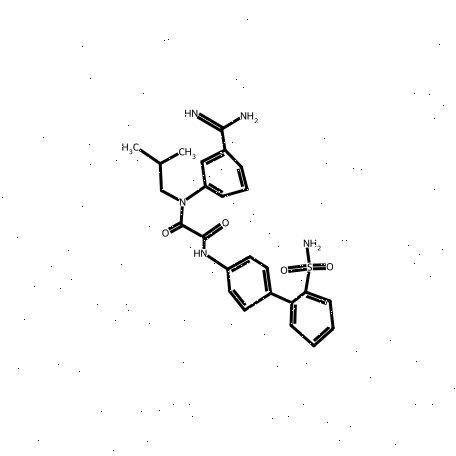 CC(C)CN(C(=O)C(=O)Nc1ccc(-c2ccccc2S(N)(=O)=O)cc1)c1cccc(C(=N)N)c1